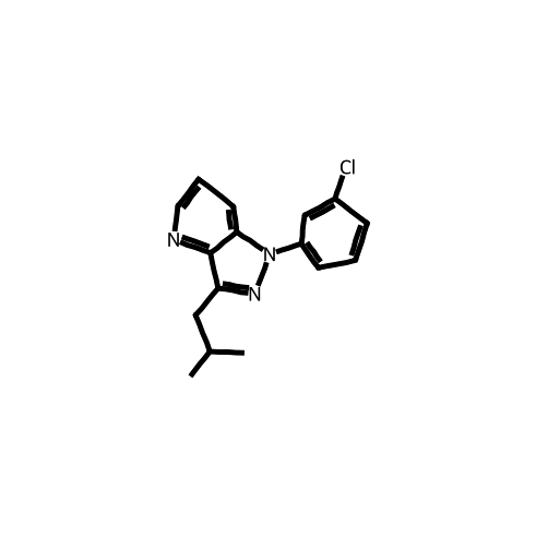 CC(C)Cc1nn(-c2cccc(Cl)c2)c2cccnc12